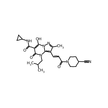 Cc1nn2c(O)c(C(=O)NC3CC3)c(=O)n(CC(C)C)c2c1/C=C/C(=O)N1CCC(C#N)CC1